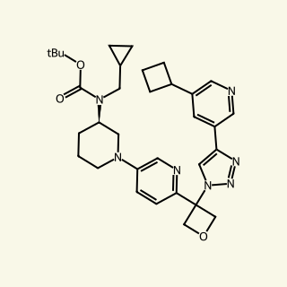 CC(C)(C)OC(=O)N(CC1CC1)[C@@H]1CCCN(c2ccc(C3(n4cc(-c5cncc(C6CCC6)c5)nn4)COC3)nc2)C1